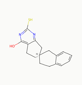 Oc1nc(S)nc2c1CC[C@]1(CCc3ccccc3C1)C2